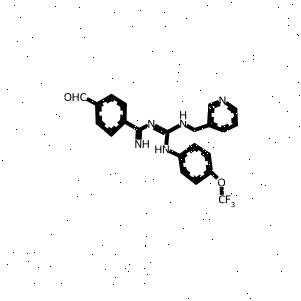 N=C(/N=C(/NCc1cccnc1)Nc1ccc(OC(F)(F)F)cc1)c1ccc(C=O)cc1